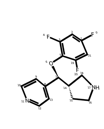 Fc1cc(F)c(O[C@H](c2ccncc2)[C@H]2CCNC2)c(F)c1